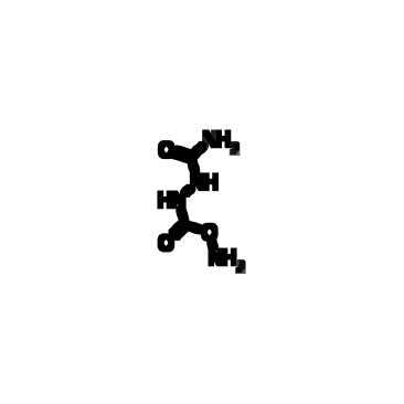 NOC(=O)NNC(N)=O